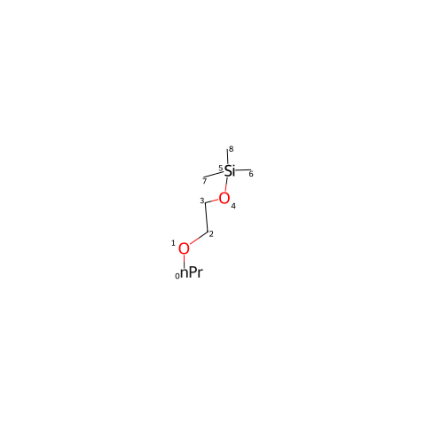 [CH2]CCOCCO[Si](C)(C)C